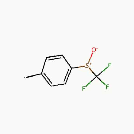 [CH2]c1ccc([S+]([O-])C(F)(F)F)cc1